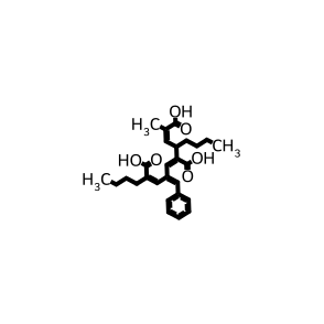 CCCCC(=CC(=Cc1ccccc1)C=C(C(=O)O)C(C=C(C)C(=O)O)CCCC)C(=O)O